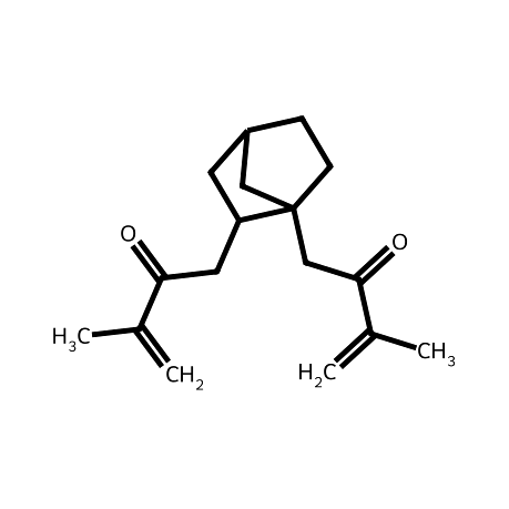 C=C(C)C(=O)CC1CC2CCC1(CC(=O)C(=C)C)C2